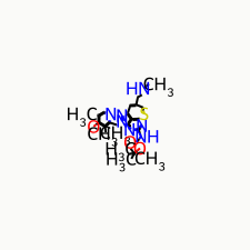 CNCCC1=Cc2nn(Cc3ncc(C)c(OC)c3C)c3nc(NC(=O)OC(C)(C)C)nc(c23)SC1